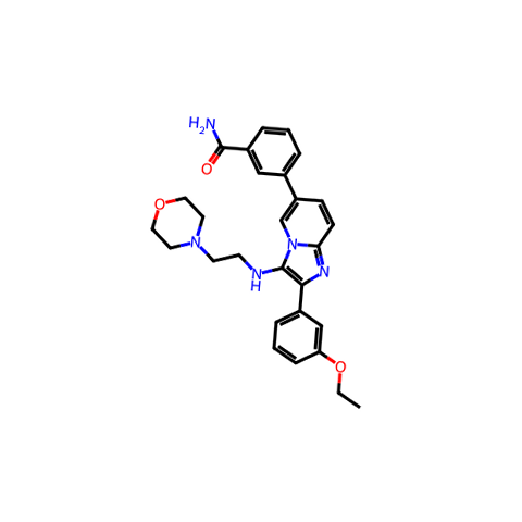 CCOc1cccc(-c2nc3ccc(-c4cccc(C(N)=O)c4)cn3c2NCCN2CCOCC2)c1